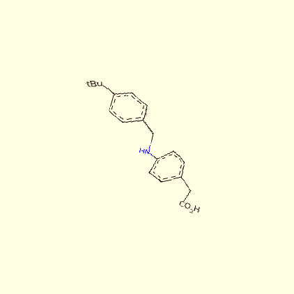 CC(C)(C)c1ccc(CNc2ccc(CC(=O)O)cc2)cc1